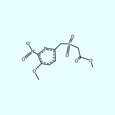 COC(=O)CS(=O)(=O)Cc1ccc(OC)c([N+](=O)[O-])n1